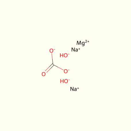 O=C([O-])[O-].[Mg+2].[Na+].[Na+].[OH-].[OH-]